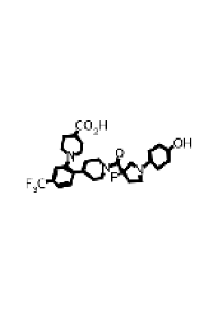 O=C(O)C1CCN(c2cc(C(F)(F)F)ccc2C2CCN(C(=O)[C@@]3(F)CCN(C4CCC(O)CC4)C3)CC2)CC1